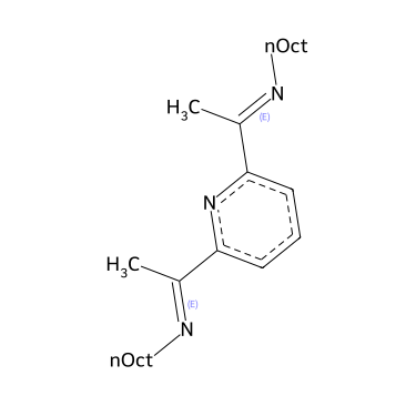 CCCCCCCC/N=C(\C)c1cccc(/C(C)=N/CCCCCCCC)n1